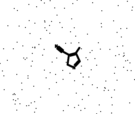 CC1=C(C#N)CN=C1